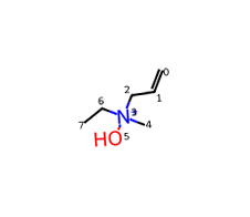 C=CC[N+](C)(O)CC